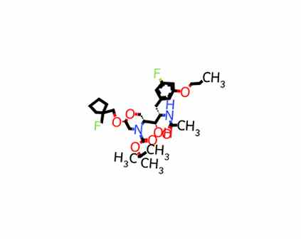 CCCOc1cc(F)cc(C[C@H](NC(C)=O)[C@H](O)[C@H]2CO[C@@H](OCC3(CF)CCCC3)CN2C(=O)OC(C)(C)C)c1